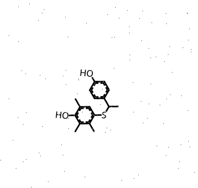 Cc1cc(SC(C)c2ccc(O)cc2)c(C)c(C)c1O